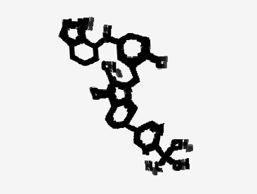 Cn1c(=O)c2ccc(-c3cnc(C(C)(C)O)nc3)cc2n1Cc1cc(NC2CCCc3cn[nH]c32)ccc1Cl